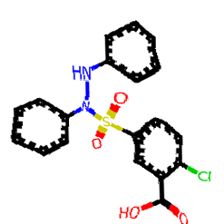 O=C(O)c1cc(S(=O)(=O)N(Nc2ccccc2)c2ccccc2)ccc1Cl